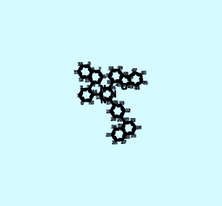 c1ccc(-c2cccc3ccccc23)c(-c2nc(-c3ccc(-c4cccc5ccccc45)cc3)nc(-c3cccc4c3oc3ccccc34)n2)c1